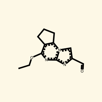 CCOc1nc2nc(C=O)cn2c2c1CCC2